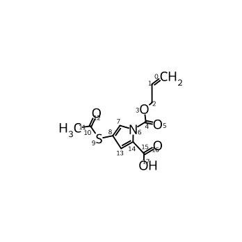 C=CCOC(=O)n1cc(SC(C)=O)cc1C(=O)O